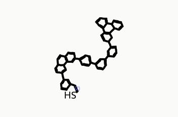 S/C=C\c1cccc(C2=CC3c4cc(-c5ccc(-c6cccc(-c7cccc(C8C=CC9=C(C8)C8C=CC=CC8c8ccccc89)c7)c6)cc5)ccc4C=CC3C=C2)c1